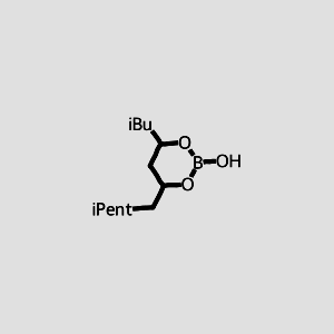 CCCC(C)CC1CC(C(C)CC)OB(O)O1